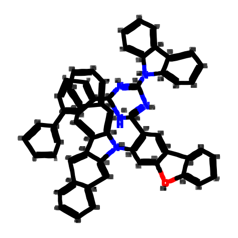 c1ccc(-c2cccc(C3N=C(n4c5ccccc5c5ccccc54)N=C(c4cc5c(cc4-n4c6cc7ccccc7cc6c6cc7ccccc7cc64)oc4ccccc45)N3)c2)cc1